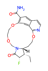 CC[C@@H]1[C@H](F)C(=O)N2COCCOc3cc4c(nccc4cc3C(N)=O)OCC[C@H]12